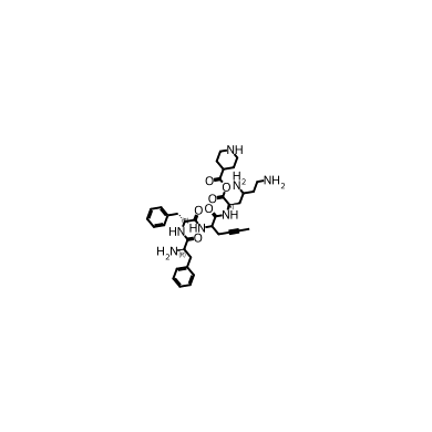 CC#CCC(NC(=O)[C@@H](Cc1ccccc1)NC(=O)[C@H](N)Cc1ccccc1)C(=O)N[C@H](CC(N)CCN)C(=O)OC(=O)C1CCNCC1